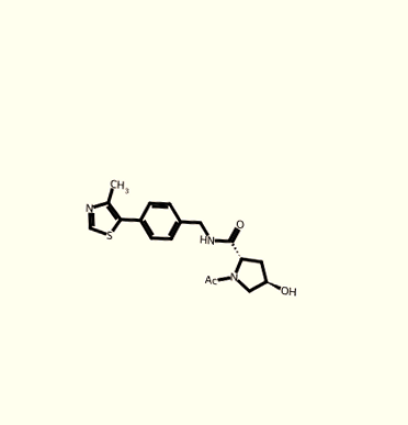 CC(=O)N1C[C@H](O)C[C@H]1C(=O)NCc1ccc(-c2scnc2C)cc1